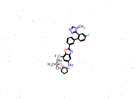 Cn1cnnc1-c1cc(F)ccc1-c1cccc(-c2nc3cc(N[C@@H]4CCC[C@@H]4O[Si](C)(C)C(C)(C)C)cc(C(F)(F)F)c3o2)c1